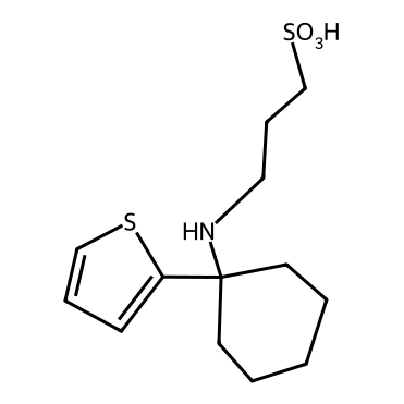 O=S(=O)(O)CCCNC1(c2cccs2)CCCCC1